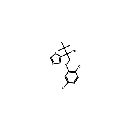 CC(C)(C)C(O)(CSc1cc(Cl)ccc1Cl)c1cncs1